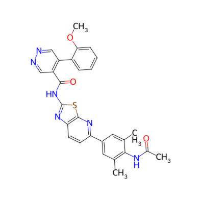 COc1ccccc1-c1cnncc1C(=O)Nc1nc2ccc(-c3cc(C)c(NC(C)=O)c(C)c3)nc2s1